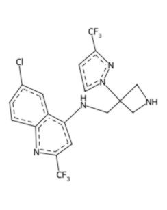 FC(F)(F)c1cc(NCC2(n3ccc(C(F)(F)F)n3)CNC2)c2cc(Cl)ccc2n1